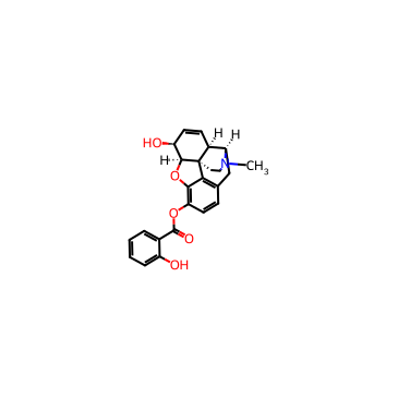 CN1CC[C@]23c4c5ccc(OC(=O)c6ccccc6O)c4O[C@H]2[C@@H](O)C=C[C@H]3[C@H]1C5